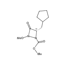 CON1C(=O)[C@H](CC2CCCC2)N1C(=O)OC(C)(C)C